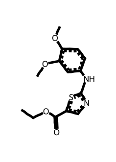 CCOC(=O)c1cnc(Nc2ccc(OC)c(OC)c2)s1